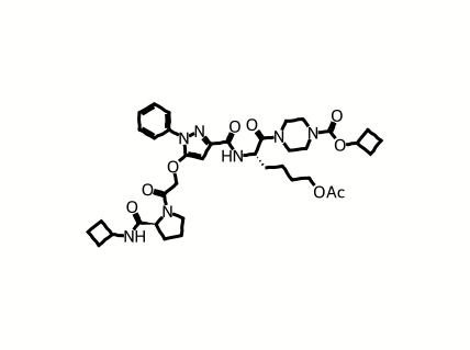 CC(=O)OCCCC[C@H](NC(=O)c1cc(OCC(=O)N2CCC[C@H]2C(=O)NC2CCC2)n(-c2ccccc2)n1)C(=O)N1CCN(C(=O)OC2CCC2)CC1